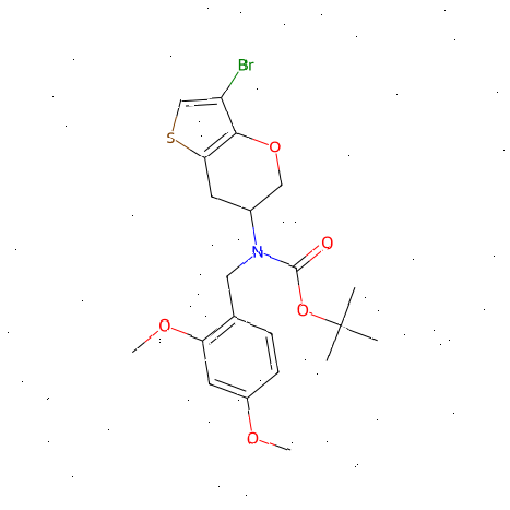 COc1ccc(CN(C(=O)OC(C)(C)C)C2COc3c(Br)csc3C2)c(OC)c1